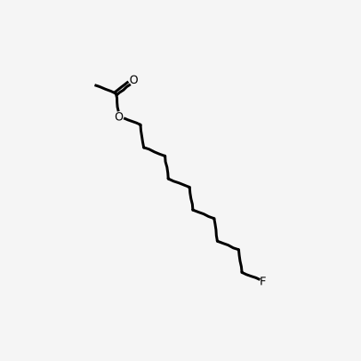 CC(=O)OCCCCCCCCCCF